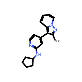 CCCc1nn2ccccc2c1-c1ccnc(NC2CCCC2)c1